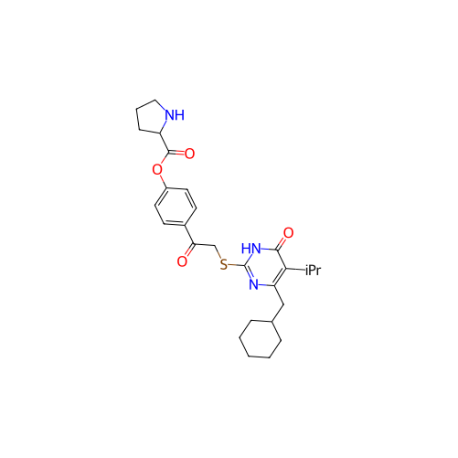 CC(C)c1c(CC2CCCCC2)nc(SCC(=O)c2ccc(OC(=O)C3CCCN3)cc2)[nH]c1=O